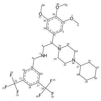 COc1cc(C(CNCc2cc(C(F)(F)F)cc(C(F)(F)F)c2)N2CCN(C3CCCCC3)CC2)cc(OC)c1OC